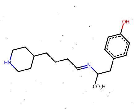 O=C(O)C(Cc1ccc(O)cc1)N=CCCCC1CCNCC1